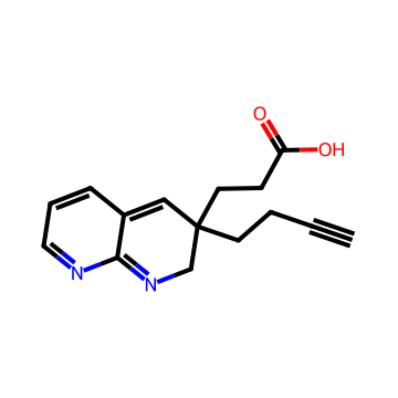 C#CCCC1(CCC(=O)O)C=c2cccnc2=NC1